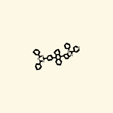 C1=CC(c2nc(-c3ccccc3)nc(-c3ccccc3)n2)CC=C1c1c2ccccc2c(-c2ccc3nc(-c4ccncc4)n(-c4ccccc4)c3c2)c2ccccc12